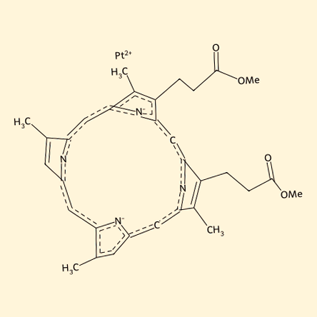 COC(=O)CCC1=C(C)c2cc3cc(C)c(cc4nc(cc5[n-]c(cc1n2)c(CCC(=O)OC)c5C)C(C)=C4)[n-]3.[Pt+2]